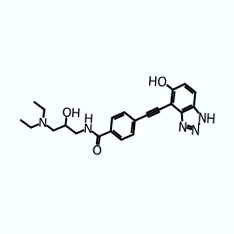 CCN(CC)CC(O)CNC(=O)c1ccc(C#Cc2c(O)ccc3[nH]nnc23)cc1